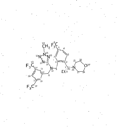 CC[C@H](c1ccc(C(F)(F)F)cc1CN(Cc1cc(C(F)(F)F)cc(C(F)(F)F)c1)c1nnn(C)n1)N1CCOCC1